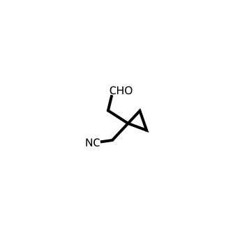 N#CCC1(CC=O)CC1